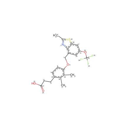 Cc1nc2c(COc3ccc(CCC(=O)O)c(C)c3C)cc(OC(F)(F)F)cc2s1